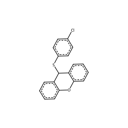 Clc1ccc(SC2c3ccccc3Oc3ccccc32)cc1